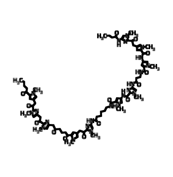 CCCCC(=O)c1cc(CC(=O)c2nc(CC(=O)c3nc(CC(=O)CCCC(=O)c4cc(CC(=O)c5nc(NC(=O)CCCCCNC(=O)c6cc(NC(=O)c7nc(NC(=O)CCNC(=O)c8cc(NC(=O)c9cc(CC(=O)c%10nc(NC(=O)CCC)cn%10C)cn9C)cn8C)cn7C)cn6C)cn5C)cn4C)cn3C)cn2C)cn1C